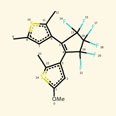 COc1cc(C2=C(c3cc(C)sc3C)C(F)(F)C(F)(F)C2(F)F)c(C)s1